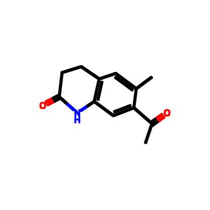 CC(=O)c1cc2c(cc1C)CCC(=O)N2